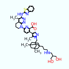 Cc1c(Nc2nc3ccccc3s2)nnc2c1CCCN2c1ccc(-c2cnn(CC34CC5(C)CC(C)(CC(CCCNCC(CO)CO)(C5)C3)C4)c2C)c(C(=O)O)n1